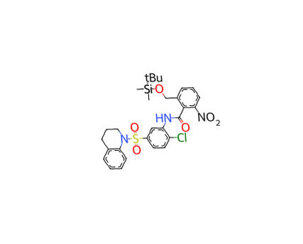 CC(C)(C)[Si](C)(C)OCc1cccc([N+](=O)[O-])c1C(=O)Nc1cc(S(=O)(=O)N2CCCc3ccccc32)ccc1Cl